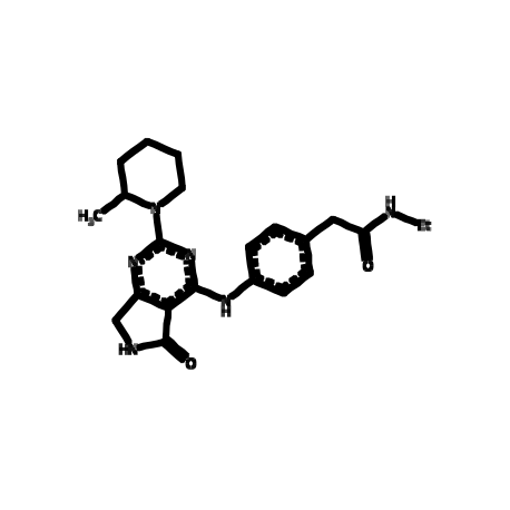 CCNC(=O)Cc1ccc(Nc2nc(N3CCCCC3C)nc3c2C(=O)NC3)cc1